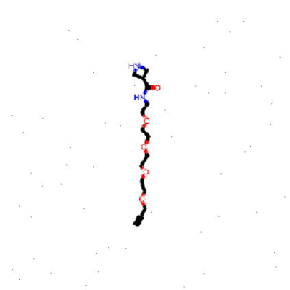 C#CCOCCOCCOCCOCCNC(=O)C1CNC1